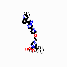 Cc1ccc2c(-c3cnn4cc(-c5ccc(OCCN6CCN(C(=O)O)C(C(C)(C)C)C6)cn5)cnc34)cccc2n1